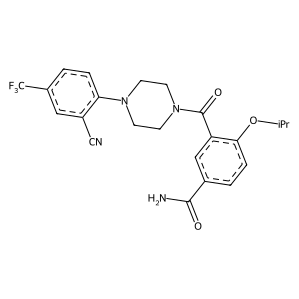 CC(C)Oc1ccc(C(N)=O)cc1C(=O)N1CCN(c2ccc(C(F)(F)F)cc2C#N)CC1